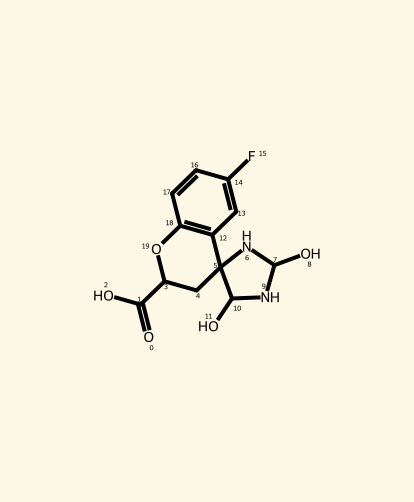 O=C(O)C1CC2(NC(O)NC2O)c2cc(F)ccc2O1